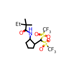 CCC(C)(C)C(=O)NC1CCCC1C(S(=O)(=O)C(F)(F)F)S(=O)(=O)C(F)(F)F